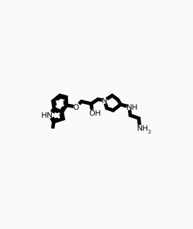 Cc1cc2c(OCC(O)CN3CCC(NCCN)CC3)cccc2[nH]1